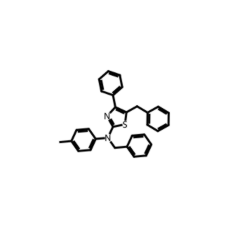 Cc1ccc(N(Cc2ccccc2)c2nc(-c3ccccc3)c(Cc3ccccc3)s2)cc1